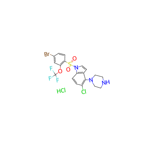 Cl.O=S(=O)(c1ccc(Br)cc1OC(F)(F)F)n1ccc2c(N3CCNCC3)c(Cl)ccc21